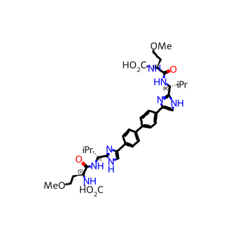 COCC[C@H](NC(=O)O)C(=O)N[C@@H](c1nc(-c2ccc(-c3ccc(-c4c[nH]c([C@H](NC(=O)[C@H](CCOC)NC(=O)O)C(C)C)n4)cc3)cc2)c[nH]1)C(C)C